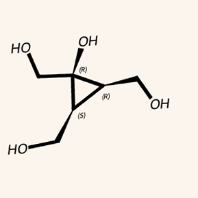 OC[C@@H]1[C@H](CO)[C@@]1(O)CO